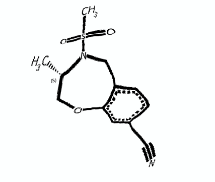 C[C@H]1COc2cc(C#N)ccc2CN1S(C)(=O)=O